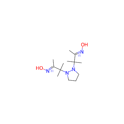 C/C(=N\O)C(C)(C)N1CCCN1C(C)(C)/C(C)=N/O